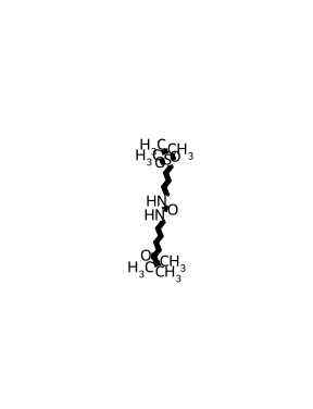 CC(C)(C)C(=O)CCCCCNC(=O)NCCCCCS(=O)(=O)C(C)(C)C